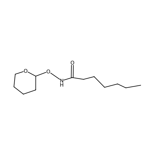 CCCCCCC(=O)NOC1CCCCO1